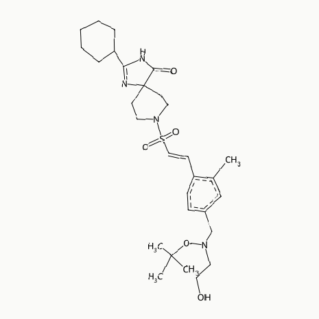 Cc1cc(CN(CCO)OC(C)(C)C)ccc1/C=C/S(=O)(=O)N1CCC2(CC1)N=C(C1CCCCC1)NC2=O